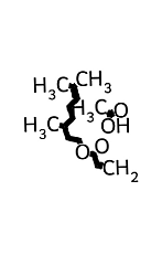 C=CC(=O)OCCC(C)CCC=C(C)C.CC(=O)O